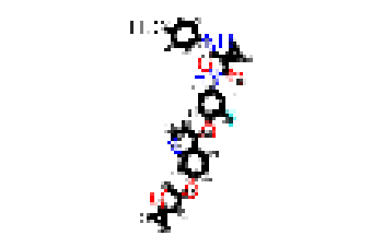 Cc1ccc(NC(=O)C2(C(=O)Nc3ccc(Oc4ccnc5cc(OC6COC7(CC7)C6)ccc45)c(F)c3)CC2)cc1